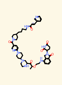 CC(OCCNc1cccc2c1CN(C1CCC(=O)NC1=O)C2=O)C(=O)C1CN(C2CCN(c3ccc(C(=O)N4CCC(CCCCNC(=O)/C=C/c5cccnc5)CC4)cn3)CC2)CCN1